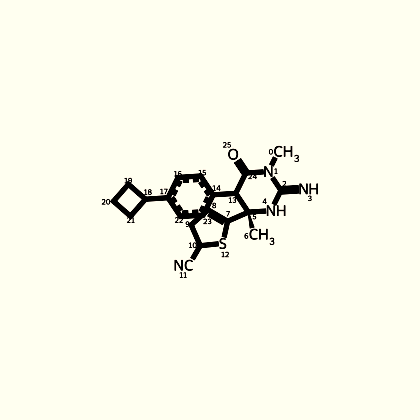 CN1C(=N)N[C@](C)(C2=CCC(C#N)S2)C(c2ccc(C3CCC3)cc2)C1=O